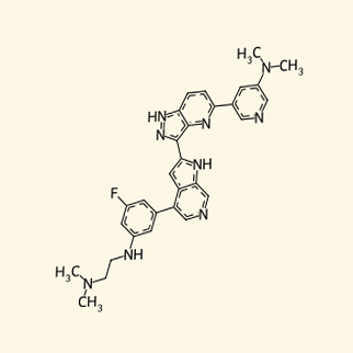 CN(C)CCNc1cc(F)cc(-c2cncc3[nH]c(-c4n[nH]c5ccc(-c6cncc(N(C)C)c6)nc45)cc23)c1